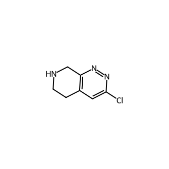 Clc1cc2c(nn1)CNCC2